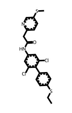 CCSc1ccc(-c2c(Cl)cc(NC(=O)Cc3ccc(SC)cn3)cc2Cl)cc1